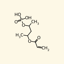 C=CC(=O)OC(C)CC(C)OP(=O)(O)O